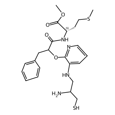 COC(=O)[C@H](CCSC)NC(=O)C(Cc1ccccc1)Oc1ncccc1NCC(N)CS